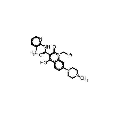 Cc1cccnc1NC(=O)c1c(O)c2ccc(N3CCN(C)CC3)cc2n(CC(C)C)c1=O